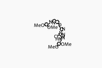 COc1ccc(CNc2ncnc3c2c(Cl)cn3-c2cncc(COc3ccc4ccc(N(C)Cc5ccc(OC)cc5OC)nc4c3)c2)c(OC)c1